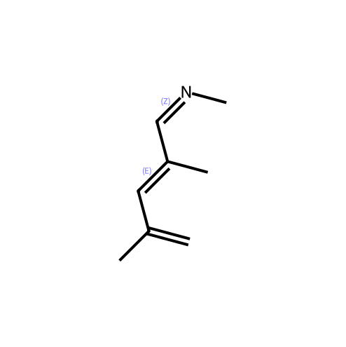 C=C(C)/C=C(C)/C=N\C